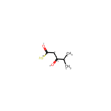 CC(C)C(=O)CC(=O)S